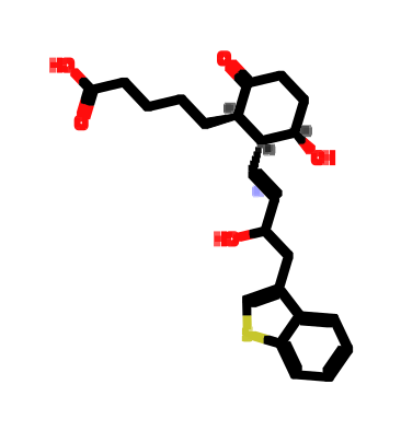 O=C(O)CCCC[C@H]1C(=O)CC[C@@H](O)[C@@H]1/C=C/C(O)Cc1csc2ccccc12